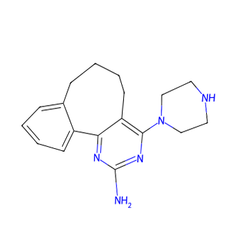 Nc1nc2c(c(N3CCNCC3)n1)CCCCc1ccccc1-2